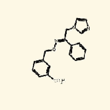 O=C(O)c1cccc(CON=C(Cn2ccnc2)c2ccccc2)c1